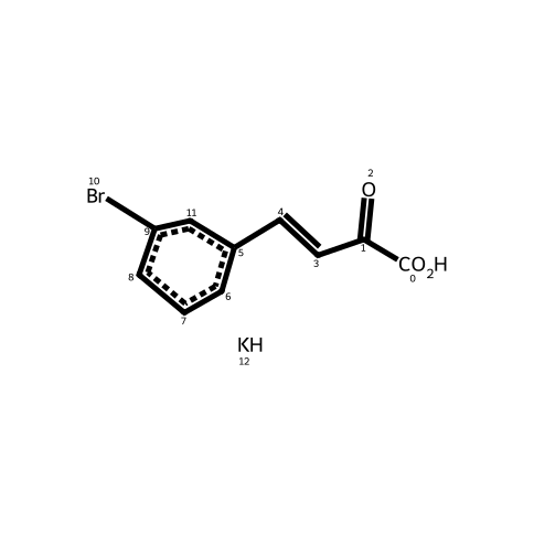 O=C(O)C(=O)C=Cc1cccc(Br)c1.[KH]